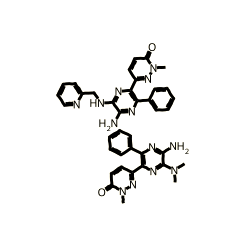 CN(C)c1nc(-c2ccc(=O)n(C)n2)c(-c2ccccc2)nc1N.Cn1nc(-c2nc(NCc3ccccn3)c(N)nc2-c2ccccc2)ccc1=O